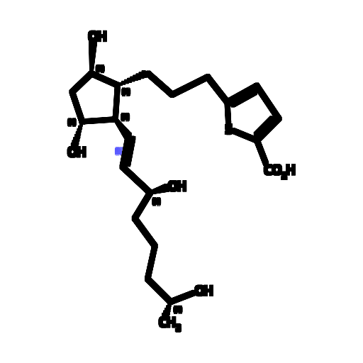 C[C@@H](O)CCC[C@H](O)/C=C/[C@@H]1[C@@H](CCCc2ccc(C(=O)O)s2)[C@H](O)C[C@H]1O